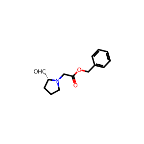 O=C[C@H]1CCCN1CC(=O)OCc1ccccc1